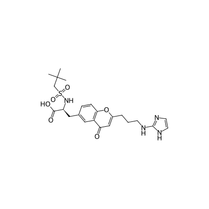 CC(C)(C)CS(=O)(=O)N[C@@H](Cc1ccc2oc(CCCNc3ncc[nH]3)cc(=O)c2c1)C(=O)O